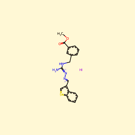 COC(=O)c1cccc(CN/C(N)=N/N=C/c2csc3ccccc23)c1.I